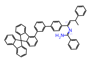 CC(/C=C(\N=C(/N)c1ccccc1)c1ccc(-c2cccc(-c3cccc4c3-c3ccccc3C43c4ccccc4-c4ccccc43)c2)cc1)c1ccccc1